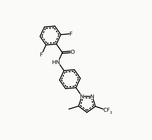 Cc1cc(C(F)(F)F)nn1-c1ccc(NC(=O)c2c(F)cccc2F)cc1